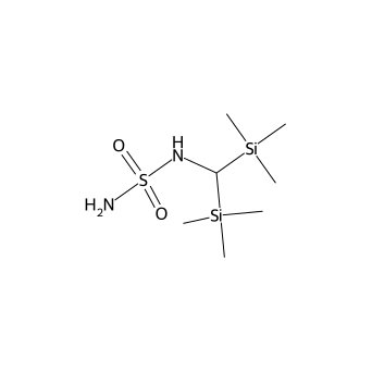 C[Si](C)(C)C(NS(N)(=O)=O)[Si](C)(C)C